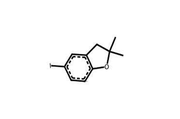 CC1(C)Cc2cc(I)c[c]c2O1